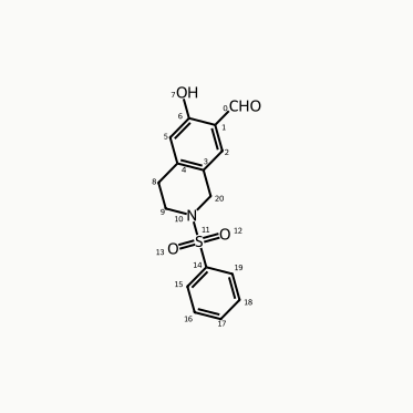 O=Cc1cc2c(cc1O)CCN(S(=O)(=O)c1ccccc1)C2